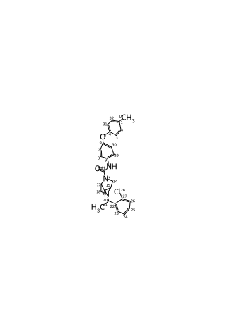 Cc1ccc(Oc2ccc(NC(=O)N3CC4CC3CN4C(C)c3ccccc3Cl)cc2)cc1